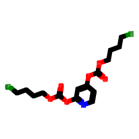 O=C(OCCCCCl)Oc1ccnc(OC(=O)OCCCCCl)c1